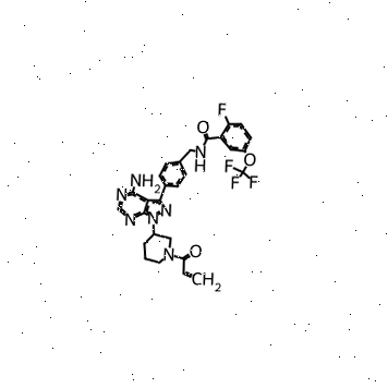 C=CC(=O)N1CCCC(n2nc(-c3ccc(CNC(=O)c4cc(OC(F)(F)F)ccc4F)cc3)c3c(N)ncnc32)C1